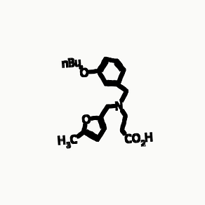 CCCCOc1cccc(CN(CCC(=O)O)Cc2ccc(C)o2)c1